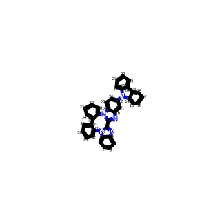 c1ccc2c(c1)nc1c3nc4cc(-n5c6ccccc6c6ccccc65)ccc4n3c3ccccc3c3ccccc3n21